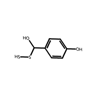 Oc1ccc(C(O)SS)cc1